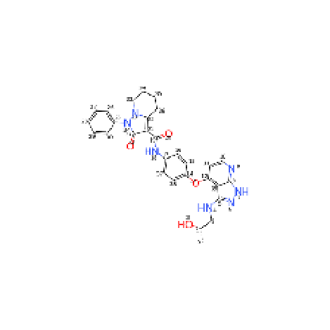 C[C@H](O)CNc1n[nH]c2nccc(Oc3ccc(NC(=O)c4c5n(n(-c6ccccc6)c4=O)CCCC5)cc3)c12